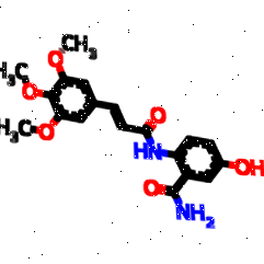 COc1cc(C=CC(=O)Nc2ccc(O)cc2C(N)=O)cc(OC)c1OC